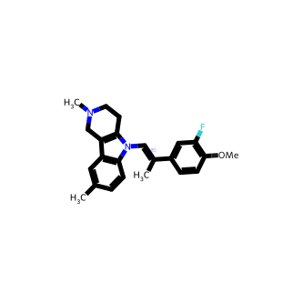 COc1ccc(/C(C)=C/n2c3c(c4cc(C)ccc42)CN(C)CC3)cc1F